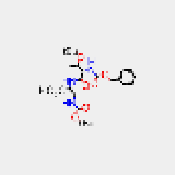 CC(OC(C)(C)C)C(NC(=O)OCc1ccccc1)C(=O)N[C@@H](CNC(=O)OC(C)(C)C)C(=O)O